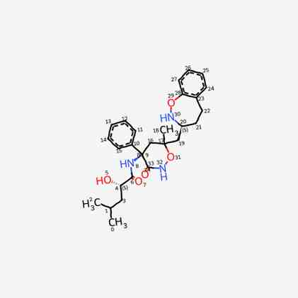 CC(C)C[C@H](O)C(=O)N[C@@]1(c2ccccc2)CC(C)(C[C@@H]2CCc3ccccc3ON2)ONC1=O